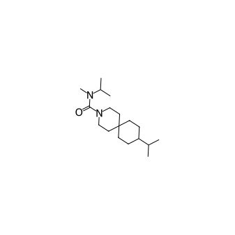 CC(C)C1CCC2(CC1)CCN(C(=O)N(C)C(C)C)CC2